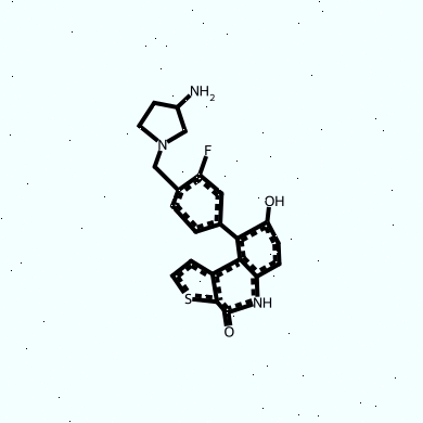 NC1CCN(Cc2ccc(-c3c(O)ccc4[nH]c(=O)c5sccc5c34)cc2F)C1